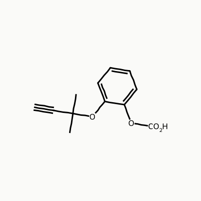 C#CC(C)(C)Oc1ccccc1OC(=O)O